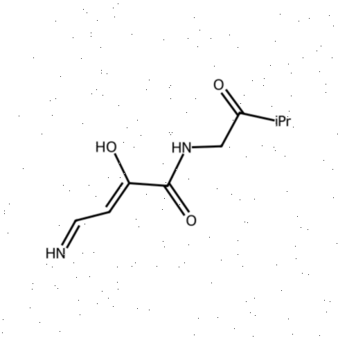 CC(C)C(=O)CNC(=O)/C(O)=C/C=N